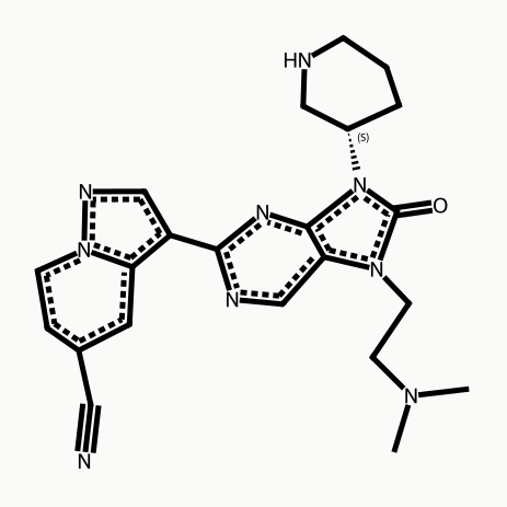 CN(C)CCn1c(=O)n([C@H]2CCCNC2)c2nc(-c3cnn4ccc(C#N)cc34)ncc21